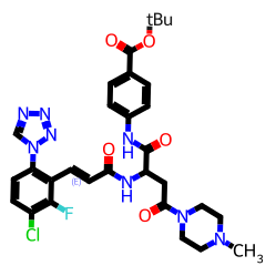 CN1CCN(C(=O)CC(NC(=O)/C=C/c2c(-n3cnnn3)ccc(Cl)c2F)C(=O)Nc2ccc(C(=O)OC(C)(C)C)cc2)CC1